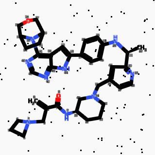 C=C(CN1CCC1)C(=O)N[C@@H]1CCCN(Cc2ccnc([C@H](C)Nc3ccc(-c4cc5c(N6C7CCC6COC7)ncnc5[nH]4)cc3)c2)C1